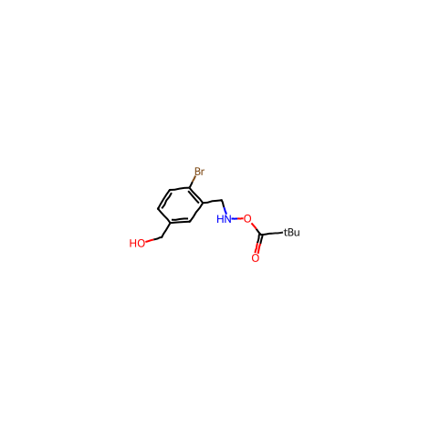 CC(C)(C)C(=O)ONCc1cc(CO)ccc1Br